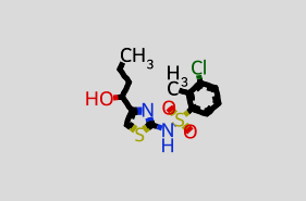 CCCC(O)c1csc(NS(=O)(=O)c2cccc(Cl)c2C)n1